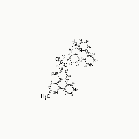 Cc1cccc(-c2ccncc2-c2ccc(CS(=O)(=O)Cc3ccc(-c4cnccc4-c4cccc(C)n4)cc3F)c(F)c2)n1